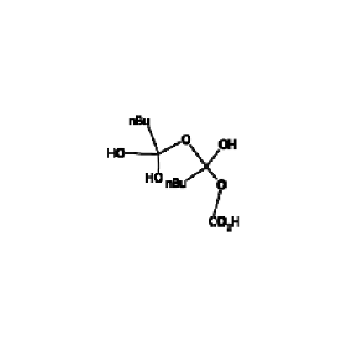 CCCCC(O)(O)OC(O)(CCCC)OC(=O)O